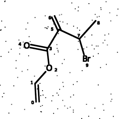 C=COC(=O)C(=C)C(C)Br